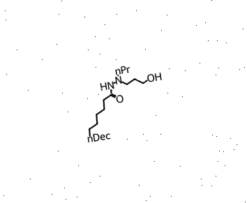 CCCCCCCCCCCCCCCC(=O)NN(CCC)CCCO